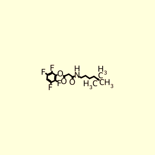 CC(C)(C)CCCCNC(=O)CC(=O)Oc1c(F)c(F)cc(F)c1F